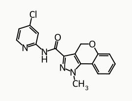 Cn1nc(C(=O)Nc2cc(Cl)ccn2)c2c1-c1ccccc1OC2